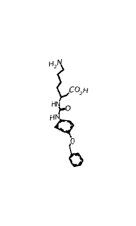 NCCCCC(CC(=O)O)NC(=O)Nc1ccc(OCc2ccccc2)cc1